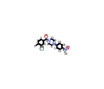 Cc1ccc(C(=O)N2CCN(c3ccc([N+](C)=O)cc3)CC2)cc1Cl